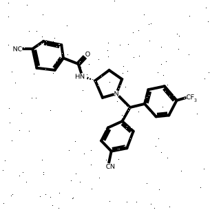 N#Cc1ccc(C(=O)N[C@@H]2CCN(C(c3ccc(C#N)cc3)c3ccc(C(F)(F)F)cc3)C2)cc1